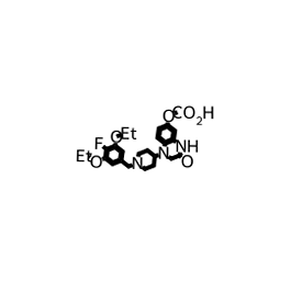 CCOc1cc(CN2CCC(N3CC(=O)Nc4cc(OC(=O)O)ccc43)CC2)cc(OCC)c1F